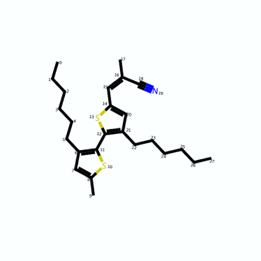 CCCCCCc1cc(C)sc1-c1sc(C=C(C)C#N)cc1CCCCCC